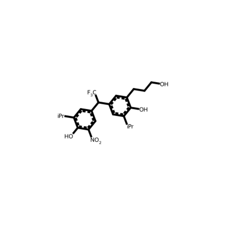 CC(C)c1cc(C(c2cc(C(C)C)c(O)c([N+](=O)[O-])c2)C(F)(F)F)cc(CCCO)c1O